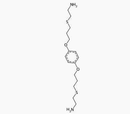 NCCSCCCOc1ccc(OCCCSCCN)cc1